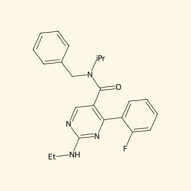 CCNc1ncc(C(=O)N(Cc2ccccc2)C(C)C)c(-c2ccccc2F)n1